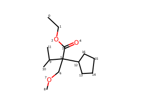 CCOC(=O)C(COC)(C(C)C)C1CCCC1